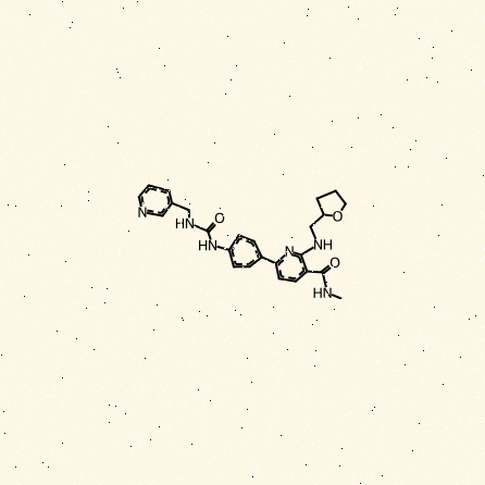 CNC(=O)c1ccc(-c2ccc(NC(=O)NCc3cccnc3)cc2)nc1NCC1CCCO1